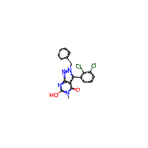 Cn1c(O)nc2nn(Cc3ccccc3)c(-c3cccc(Cl)c3Cl)c2c1=O